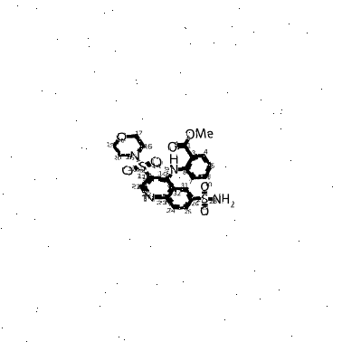 COC(=O)c1ccccc1Nc1c(S(=O)(=O)N2CCOCC2)cnc2ccc(S(N)(=O)=O)cc12